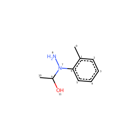 Cc1ccccc1N(N)C(C)O